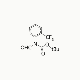 CC(C)(C)OC(=O)N(C=O)c1ccccc1C(F)(F)F